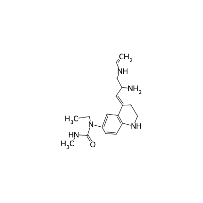 C=CNCC(N)/C=C1\CCNc2ccc(N(CC)C(=O)NC)cc21